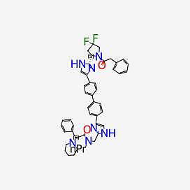 CCCN(Cc1nc(-c2ccc(-c3ccc(-c4c[nH]c([C@@H]5CC(F)(F)CN5C(=O)Cc5ccccc5)n4)cc3)cc2)c[nH]1)C(=O)[C@@H](c1ccccc1)N1CCCCC1